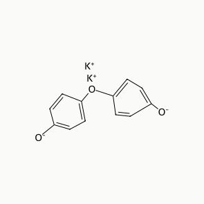 [K+].[K+].[O-]c1ccc(Oc2ccc([O-])cc2)cc1